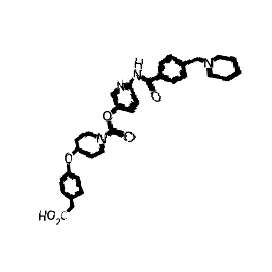 O=C(O)Cc1ccc(OC2CCN(C(=O)Oc3ccc(NC(=O)c4ccc(CN5CCCCC5)cc4)nc3)CC2)cc1